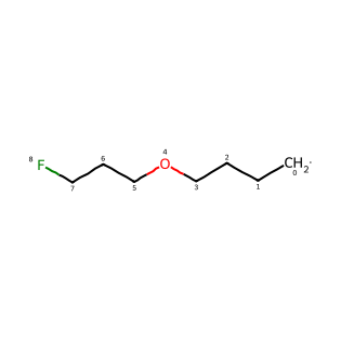 [CH2]CCCOCCCF